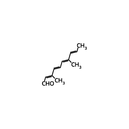 C/C=C/C(C)=C/C=C/C(C)=C/C=O